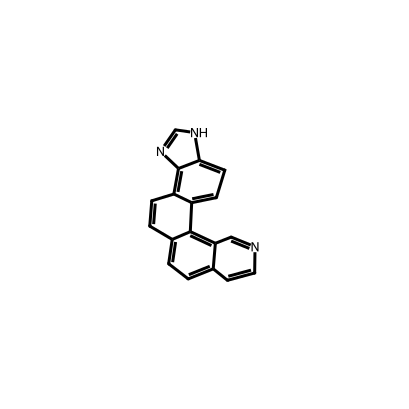 c1cc2ccc3ccc4c(ccc5[nH]cnc54)c3c2cn1